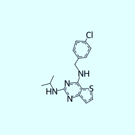 CC(C)Nc1nc(NCc2ccc(Cl)cc2)c2sccc2n1